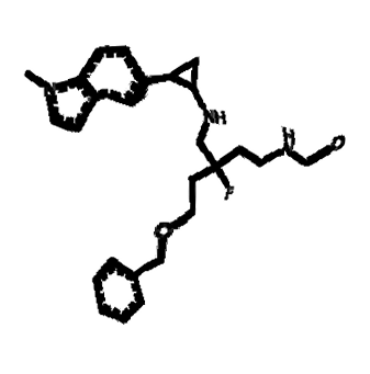 Cn1ccc2cc(C3CC3NCC(F)(CCNC=O)CCOCc3ccccc3)ccc21